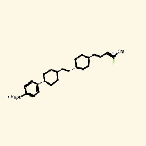 CCCCCCCc1ccc([C@H]2CC[C@H](CC[C@H]3CC[C@H](CC/C=C(\F)C#N)CC3)CC2)cc1